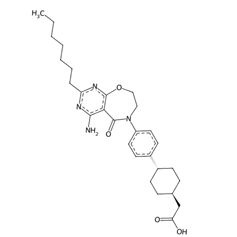 CCCCCCCc1nc(N)c2c(n1)OCCN(c1ccc([C@H]3CC[C@H](CC(=O)O)CC3)cc1)C2=O